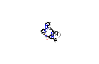 CC1(C)CC2CCC(c3ccccn3)Nc3cccc(n3)SNC(=O)c3ccc(C4CCC4)nc3N1C2